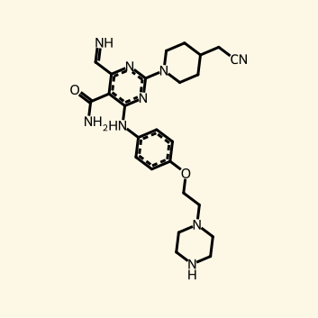 N#CCC1CCN(c2nc(C=N)c(C(N)=O)c(Nc3ccc(OCCN4CCNCC4)cc3)n2)CC1